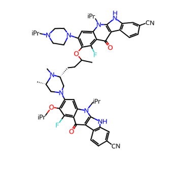 CC(C)Oc1c(N2C[C@@H](CCC(C)Oc3c(N4CCN(C(C)C)CC4)cc4c(c3F)c(=O)c3c5ccc(C#N)cc5[nH]c3n4C(C)C)N(C)[C@@H](C)C2)cc2c(c1F)c(=O)c1c3ccc(C#N)cc3[nH]c1n2C(C)C